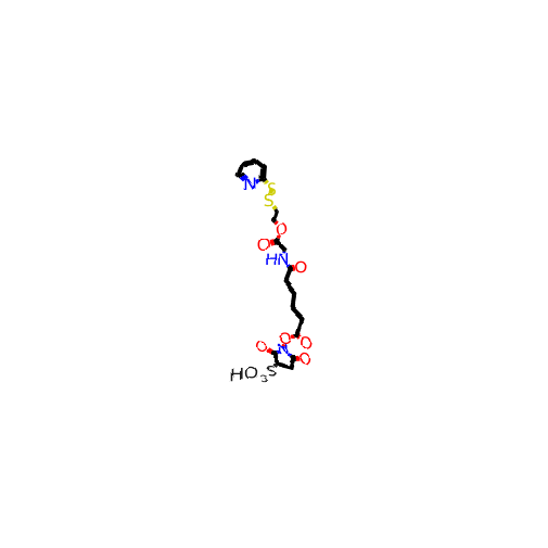 O=C(CCCCC(=O)ON1C(=O)CC(S(=O)(=O)O)C1=O)NCC(=O)OCCSSc1ccccn1